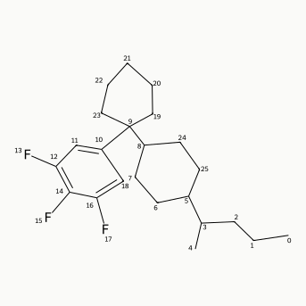 CCCC(C)C1CCC(C2(c3cc(F)c(F)c(F)c3)CCCCC2)CC1